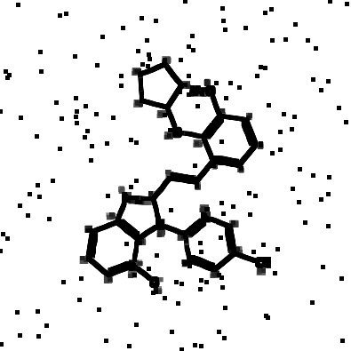 COc1cccc(C=Cc2nc3ccc[n+]([O-])c3n2-c2ccc(C#N)cn2)c1OC1CCCC1